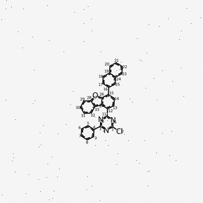 Clc1nc(-c2ccccc2)nc(-c2ccc(-c3ccc4ccccc4c3)c3oc4ccccc4c23)n1